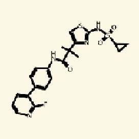 CC(C)(C(=O)Nc1ccc(-c2cccnc2F)cc1)c1csc(NS(=O)(=O)C2CC2)n1